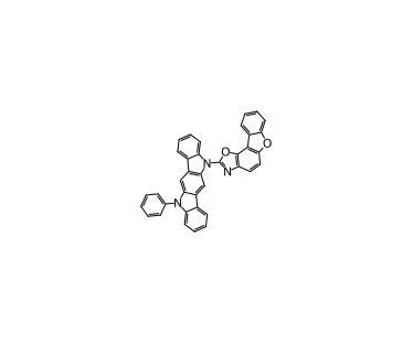 c1ccc(-n2c3ccccc3c3cc4c(cc32)c2ccccc2n4-c2nc3ccc4oc5ccccc5c4c3o2)cc1